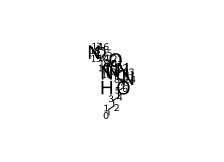 CCCCCCOc1cc(-n2[nH]cc(-c3cccnc3)c2=O)ncn1